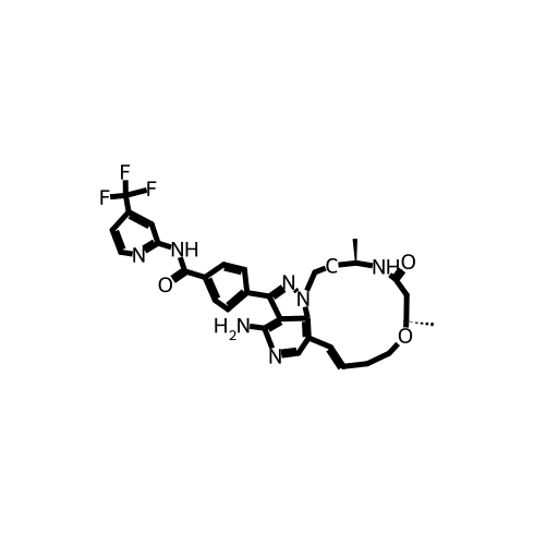 C[C@@H]1CCn2nc(-c3ccc(C(=O)Nc4cc(C(F)(F)F)ccn4)cc3)c3c(N)ncc(c32)/C=C/CCO[C@@H](C)CC(=O)N1